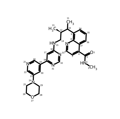 CNC(=O)c1ccnc2c(C(C)[C@H](C)CNc3cc(-c4cncc(N5CCOCC5)c4)ncn3)cccc12